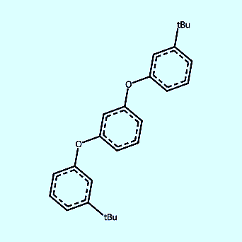 CC(C)(C)c1cccc(Oc2cccc(Oc3cccc(C(C)(C)C)c3)c2)c1